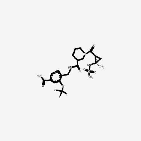 C[C@@]1(NS(C)(=O)=O)CC1C(=O)N1CCCC(C(=O)NCc2ccc(C(N)=O)cc2OC(F)(F)F)C1